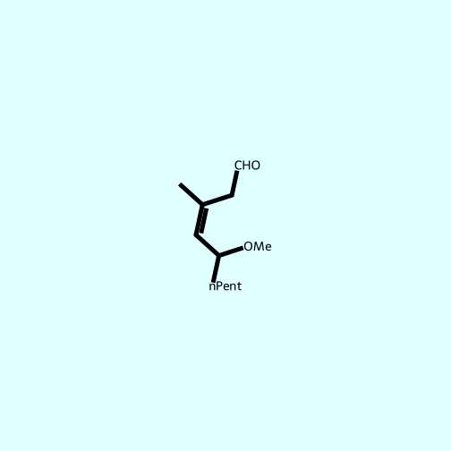 CCCCCC(C=C(C)CC=O)OC